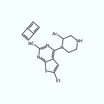 CCc1cc2c(N3CCNCC3C(C)=O)nc(C#N)nc2s1.c1cc2ccc1-2